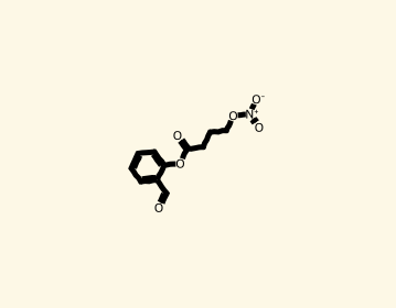 O=Cc1ccccc1OC(=O)CCCO[N+](=O)[O-]